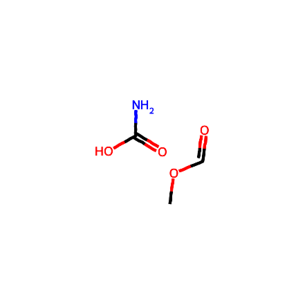 COC=O.NC(=O)O